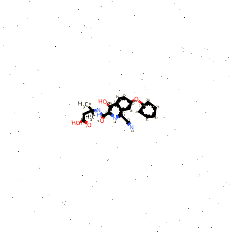 CC(C)(CC(=O)O)NC(=O)c1nc(C#N)c2cc(Oc3ccccc3)ccc2c1O